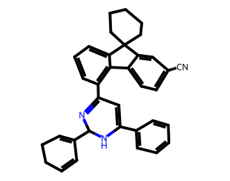 N#Cc1ccc2c(c1)C1(CCCCC1)c1cccc(C3=NC(C4=CCCC=C4)NC(c4ccccc4)=C3)c1-2